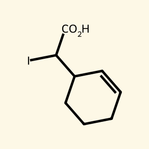 O=C(O)C(I)C1C=CCCC1